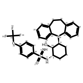 N=S(=O)(N[C@H]1CCC[C@H](N2c3ccccc3CCc3ccccc32)[C@@H]1O)c1ccc(OC(F)(F)F)cc1